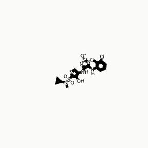 CN(C1CC1)S(=O)(=O)c1scc(Nc2n[s+]([O-])nc2Nc2cccc(Cl)c2Cl)c1O